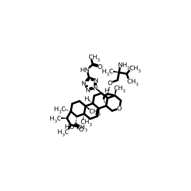 CC(=O)Nc1nnn([C@@H]2C[C@@]34COC[C@](C)([C@@H]3CC[C@H]3C4=CC[C@@]4(C)[C@H](C(=O)O)[C@@](C)([C@H](C)C(C)C)CC[C@]34C)[C@H]2OC[C@](C)(N)C(C)C)n1